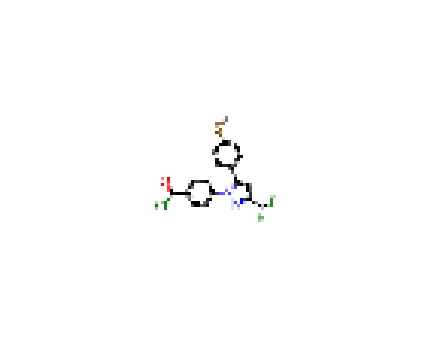 CSc1ccc(-c2cc(C(F)F)nn2-c2ccc(C(=O)Cl)cc2)cc1